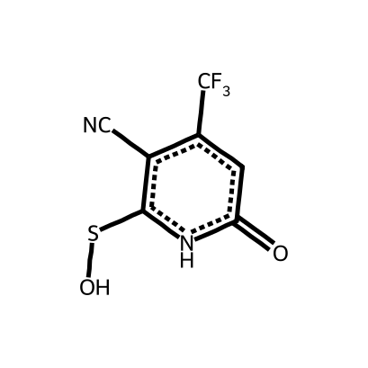 N#Cc1c(C(F)(F)F)cc(=O)[nH]c1SO